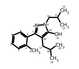 Cc1ccccc1-c1nn(CC(C)C)c(O)c1CC(C)C